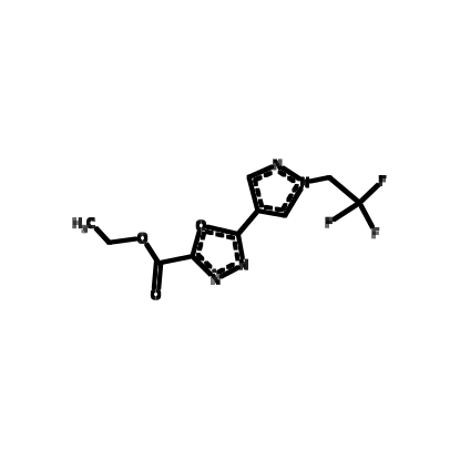 CCOC(=O)c1nnc(-c2cnn(CC(F)(F)F)c2)o1